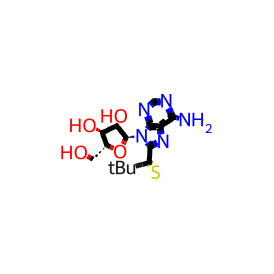 CC(C)(C)C(=S)c1nc2c(N)ncnc2n1[C@@H]1O[C@H](CO)[C@@H](O)[C@H]1O